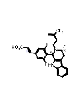 C=C(CCN1[C@H](c2c(F)cc(/C=C/C(=O)O)cc2F)c2[nH]c3ccccc3c2C[C@H]1C)C(F)(F)F